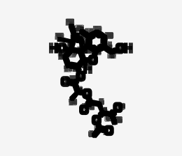 CC(=O)O[C@@H](CC(=O)O[C@@H](C)C(=O)OC1=CC[C@@]2(O)[C@@H](C)N(C)CC[C@@]23c2c(C)ccc(CO)c2O[C@@H]13)C(C)=O